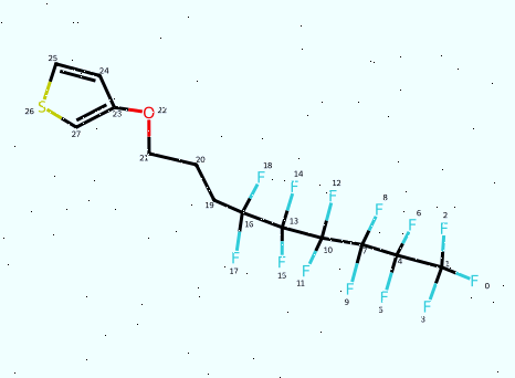 FC(F)(F)C(F)(F)C(F)(F)C(F)(F)C(F)(F)C(F)(F)CCCOc1ccsc1